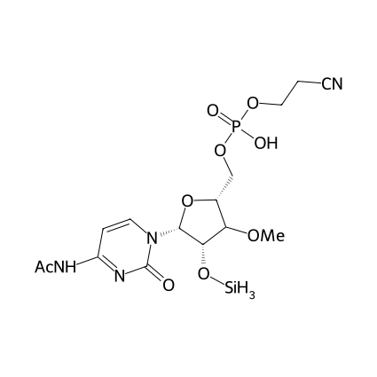 COC1[C@@H](COP(=O)(O)OCCC#N)O[C@@H](n2ccc(NC(C)=O)nc2=O)[C@H]1O[SiH3]